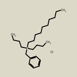 CCCCCCCCCC[P+](CCCC)(CCCC)Cc1ccccc1.[Cl-]